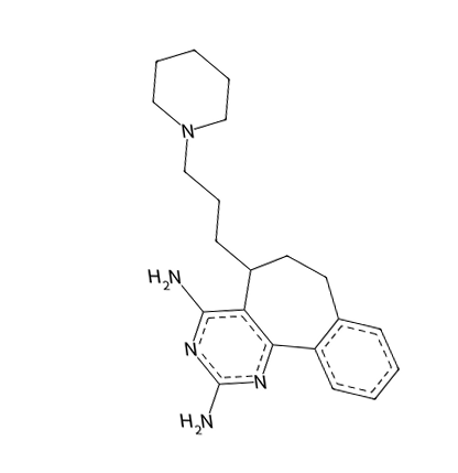 Nc1nc(N)c2c(n1)-c1ccccc1CCC2CCCN1CCCCC1